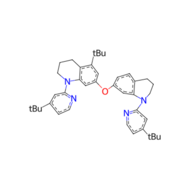 CC(C)(C)c1ccnc(N2CCCc3ccc(Oc4cc5c(c(C(C)(C)C)c4)CCCN5c4cc(C(C)(C)C)ccn4)cc32)c1